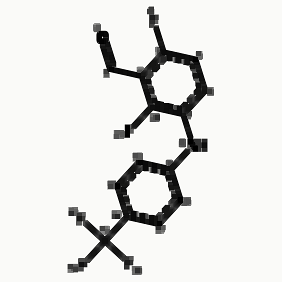 O=Cc1c(F)ccc(Nc2ccc(C(F)(F)F)cc2)c1F